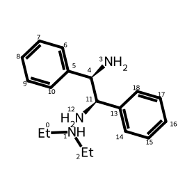 CCNCC.N[C@H](c1ccccc1)[C@H](N)c1ccccc1